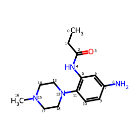 CCC(=O)Nc1cc(N)ccc1N1CCN(C)CC1